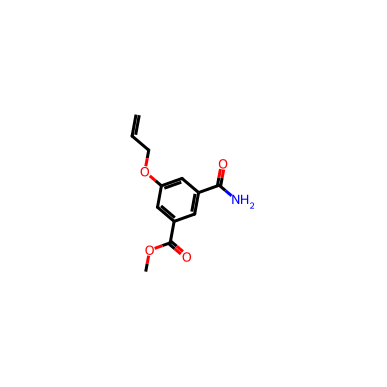 C=CCOc1cc(C(N)=O)cc(C(=O)OC)c1